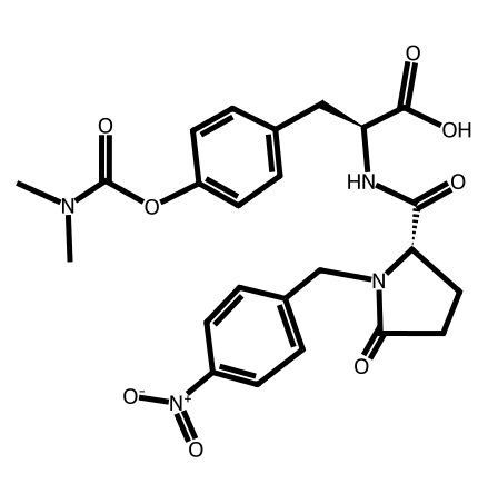 CN(C)C(=O)Oc1ccc(C[C@H](NC(=O)[C@@H]2CCC(=O)N2Cc2ccc([N+](=O)[O-])cc2)C(=O)O)cc1